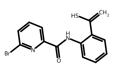 C=C(S)c1ccccc1NC(=O)c1cccc(Br)n1